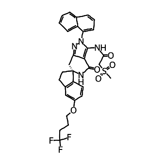 CS(=O)(=O)CC(=O)Nc1c2c(nn1-c1cccc3ccccc13)C[C@]1(CCc3cc(OCCCC(F)(F)F)ccc31)NC2=O